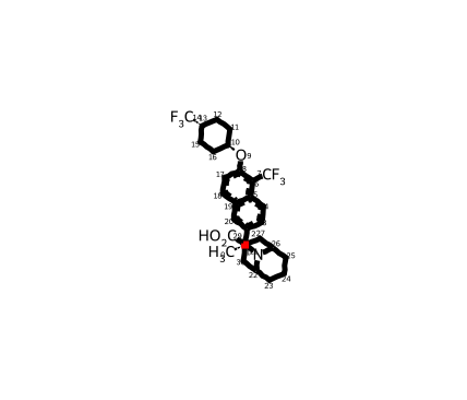 C[C@H](c1ccc2c(C(F)(F)F)c(O[C@H]3CC[C@@H](C(F)(F)F)CC3)ccc2c1)N1C2CCCC1CC(C(=O)O)C2